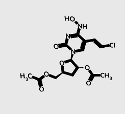 CC(=O)OC[C@@H]1C[C@@H](OC(C)=O)[C@H](n2cc(/C=C/Cl)c(NO)nc2=O)O1